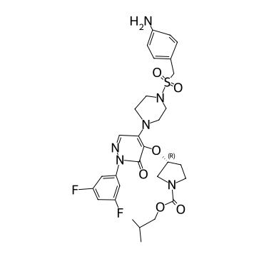 CC(C)COC(=O)N1CC[C@@H](Oc2c(N3CCN(S(=O)(=O)Cc4ccc(N)cc4)CC3)cnn(-c3cc(F)cc(F)c3)c2=O)C1